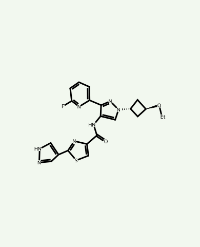 CCO[C@H]1C[C@H](n2cc(NC(=O)c3csc(-c4cn[nH]c4)n3)c(-c3cccc(F)n3)n2)C1